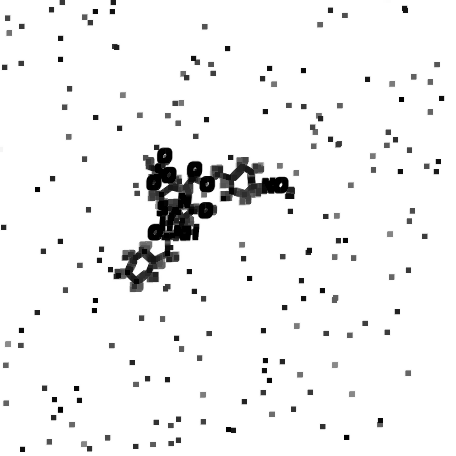 CS(=O)(=O)OC1=C(C(=O)OCc2ccc([N+](=O)[O-])cc2)N2C(=O)C(NC(=O)Cc3ccccc3)[C@@H]2SC1